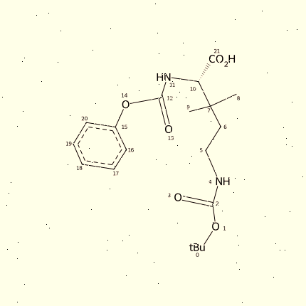 CC(C)(C)OC(=O)NCCC(C)(C)[C@H](NC(=O)Oc1ccccc1)C(=O)O